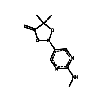 C=C1OB(c2cnc(NC)nc2)OC1(C)C